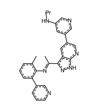 C/C(=N\c1c(C)cccc1-c1cccnc1)c1n[nH]c2ncc(-c3cncc(NC(C)C)c3)cc12